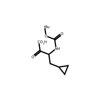 CC(C)(C)OC(=O)NC(CC1CC1)C(=O)C(=O)O